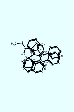 CC[C@@H]1O[C@]2(OCc3cccc(P(c4ccccc4)c4ccccc4)c32)c2c1cccc2P(=O)(c1ccccc1)c1ccccc1